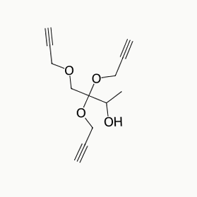 C#CCOCC(OCC#C)(OCC#C)C(C)O